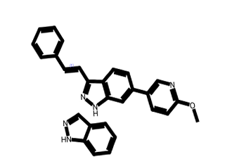 COc1ccc(-c2ccc3c(/C=C/c4ccccc4)n[nH]c3c2)cn1.c1ccc2[nH]ncc2c1